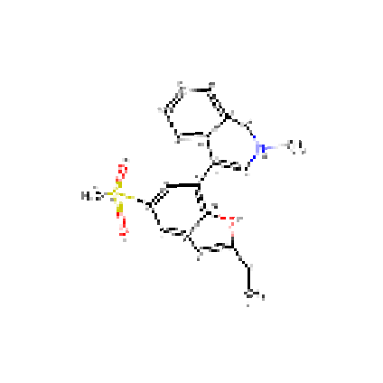 CCc1cc2cc(S(C)(=O)=O)cc(C3=CN(C)Cc4ccccc43)c2o1